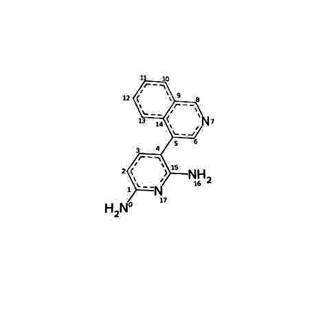 Nc1ccc(-c2cncc3ccccc23)c(N)n1